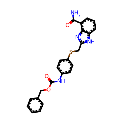 NC(=O)c1cccc2[nH]c(CSc3ccc(NC(=O)OCc4ccccc4)cc3)nc12